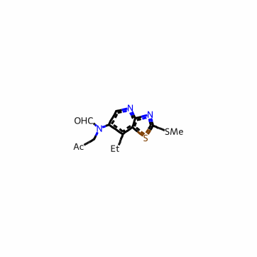 CCc1c(N(C=O)CC(C)=O)cnc2nc(SC)sc12